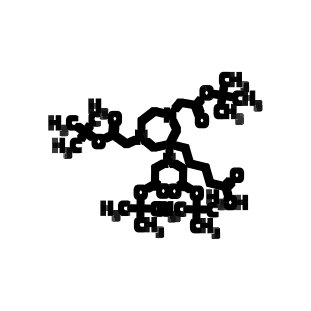 CC(C)(C)OC(=O)CN1CCN(CC(=O)OC(C)(C)C)CC(CCCCC(=O)O)(N(CC(=O)OC(C)(C)C)CC(=O)OC(C)(C)C)C1